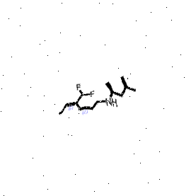 C=C(C)CC(=C)NC/C=C\C(=C/C)C(F)F